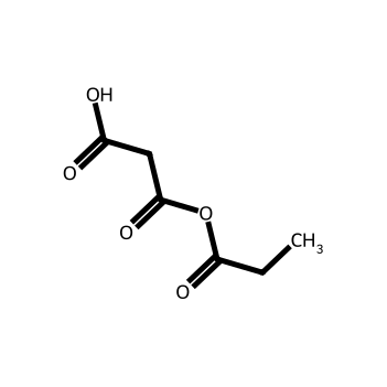 CCC(=O)OC(=O)CC(=O)O